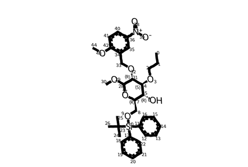 CCCO[C@H]1[C@H](O)[C@@H](CO[Si](c2ccccc2)(c2ccccc2)C(C)(C)C)OC(OC)[C@@H]1OCc1cc([N+](=O)[O-])ccc1OC